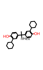 CCCCCCC(C)(c1ccc(O)c(C2CCCCC2)c1)c1ccc(O)c(C2CCCCC2)c1